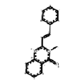 Cn1c(C=Cc2ccccc2)nc2ccccc2c1=O